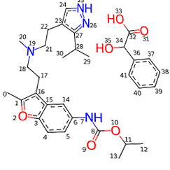 Cc1oc2ccc(NC(=O)OC(C)C)cc2c1CCN(C)CCc1c[nH]nc1C(C)C.O=C(O)C(O)c1ccccc1